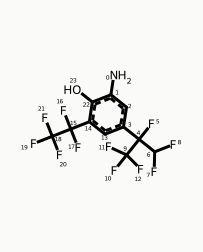 Nc1cc(C(F)(C(F)F)C(F)(F)F)cc(C(F)(F)C(F)(F)F)c1O